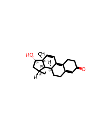 C[C@]12C=CC3=C4CCC(=O)C=C4CC[C@H]3[C@]13C[C@@H]3C[C@@H]2O